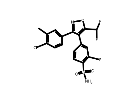 Cc1cc(-c2noc(C(F)F)c2-c2ccc(S(N)(=O)=O)c(F)c2)ccc1Cl